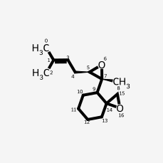 CC(C)=CC[C@H]1O[C@]1(C)C1CCCCC12CO2